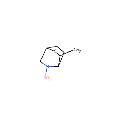 BN1CC2CCC1C(C)C2